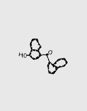 O=C(c1cccc2ccccc12)c1ccc(O)c2ccccc12